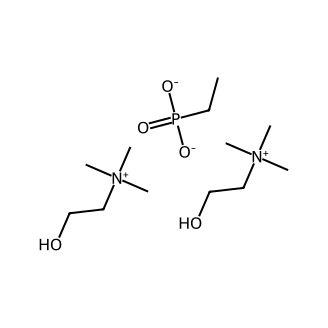 CCP(=O)([O-])[O-].C[N+](C)(C)CCO.C[N+](C)(C)CCO